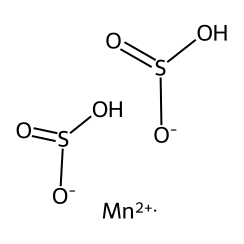 O=S([O-])O.O=S([O-])O.[Mn+2]